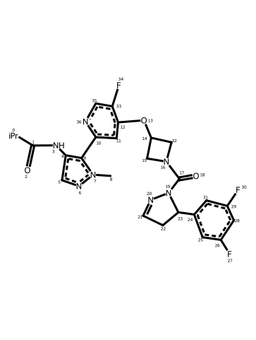 CC(C)C(=O)Nc1cnn(C)c1-c1cc(OC2CN(C(=O)N3N=CCC3c3cc(F)cc(F)c3)C2)c(F)cn1